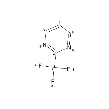 FC(F)(F)c1n[c]ccn1